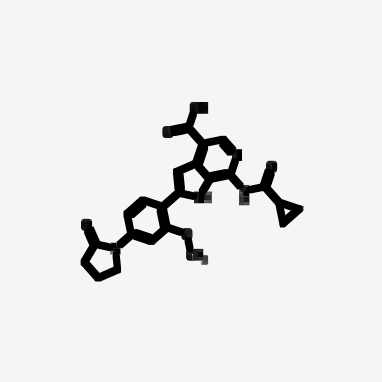 COc1cc(N2CCCC2=O)ccc1-c1cc2c(C(=O)O)cnc(NC(=O)C3CC3)c2[nH]1